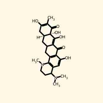 CC1=C(O)C[C@@H]2CC3Cc4c(c(O)cc5c4N(C)CCC5N(C)C)C(=O)C3=C(O)[C@]2(O)C1=O